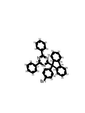 Brc1ccc(C2(c3nc(-c4ccccc4)nc(-c4ccccc4)n3)c3ccccc3-c3ccccc32)cc1